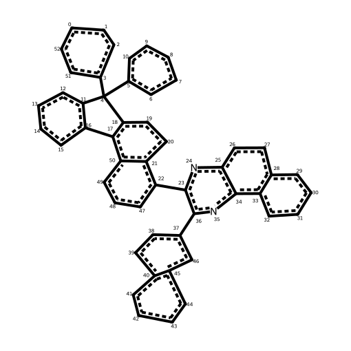 c1ccc(C2(c3ccccc3)c3ccccc3-c3c2ccc2c(-c4nc5ccc6ccccc6c5nc4-c4ccc5ccccc5c4)cccc32)cc1